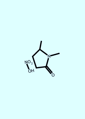 CC1CCC(=O)N1C.O=[N+]([O-])O